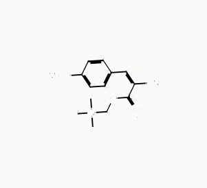 COc1ccc(/C=C(/C#N)C(=O)OC[Si](C)(C)C)cc1